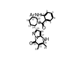 CC(=O)Nc1ccccc1C(=O)N1CCCC[C@H]1c1cc2[nH]c(C)c(C)c(=O)n2n1